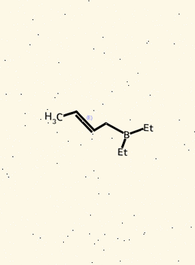 C/C=C/CB(CC)CC